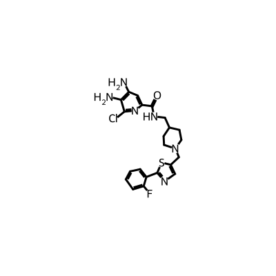 Nc1cc(C(=O)NCC2CCN(Cc3cnc(-c4ccccc4F)s3)CC2)nc(Cl)c1N